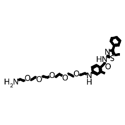 Cc1cc(NCCOCCOCCOCCOCCOCCN)ccc1C(=O)Nc1nc(-c2ccccc2)c(C)s1